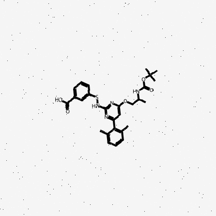 Cc1cccc(C)c1-c1cc(OCC(C)NC(=O)OC(C)(C)C)nc(NSc2cccc(C(=O)O)c2)n1